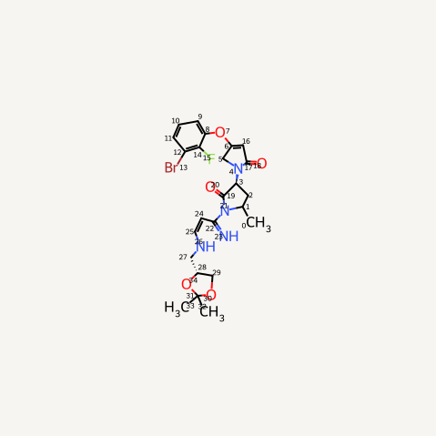 CC1C[C@H](N2CC(Oc3cccc(Br)c3F)=CC2=O)C(=O)N1C(=N)/C=C\NC[C@@H]1COC(C)(C)O1